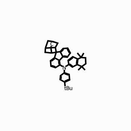 CC(C)(C)c1ccc(N(c2ccc3c(c2)C(C)(C)CCC3(C)C)c2cccc3c2-c2ccccc2C32C3CC4CC5CC2C53C4)cc1